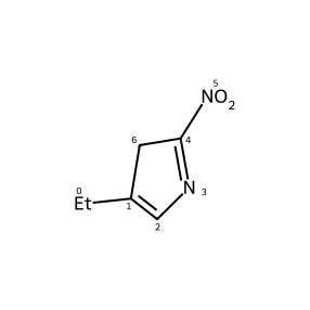 CCC1=CN=C([N+](=O)[O-])C1